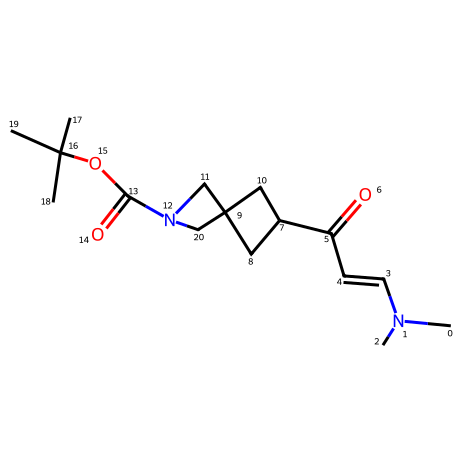 CN(C)/C=C/C(=O)C1CC2(C1)CN(C(=O)OC(C)(C)C)C2